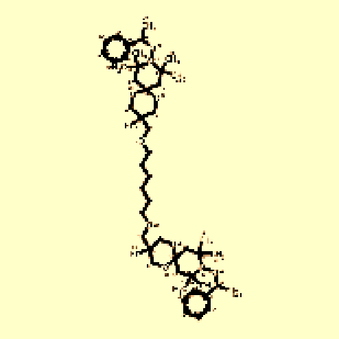 CCC1(COCCCCCCOCC2(CC)COC3(CC(C)(C)N(OC(C)c4ccccc4)C(C)(C)C3)OC2)COC2(CC(C)(C)N(OC(C)c3ccccc3)C(C)(C)C2)OC1